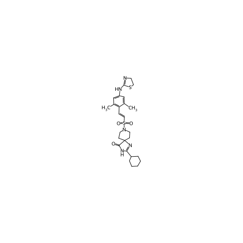 Cc1cc(NC2=NCCS2)cc(C)c1/C=C/S(=O)(=O)N1CCC2(CC1)N=C(C1CCCCC1)NC2=O